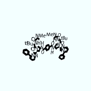 CN[C@@H](C)C(=O)N[C@H](C(=O)N1C[C@@H](NC(=O)c2ccc(C(=O)N[C@H]3C[C@@H](c4cn5c(-c6ccccc6)cccc5n4)N(C(=O)[C@@H](NC(=O)[C@H](C)NC)C(C)(C)C)C3)cc2)C[C@H]1c1cn2c(-c3ccccc3)cccc2n1)C(C)(C)C